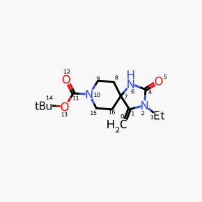 C=C1N(CC)C(=O)NC12CCN(C(=O)OC(C)(C)C)CC2